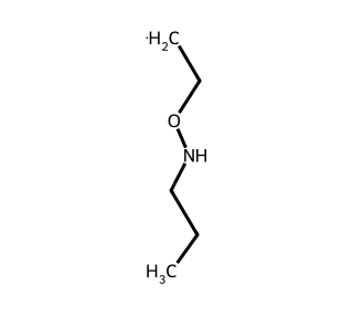 [CH2]CONCCC